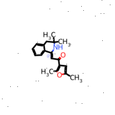 Cc1cc(C(=O)/C=C2\NC(C)(C)Cc3ccccc32)c(C)o1